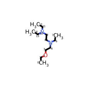 CCOCCN(CC)CCN(CC)CC